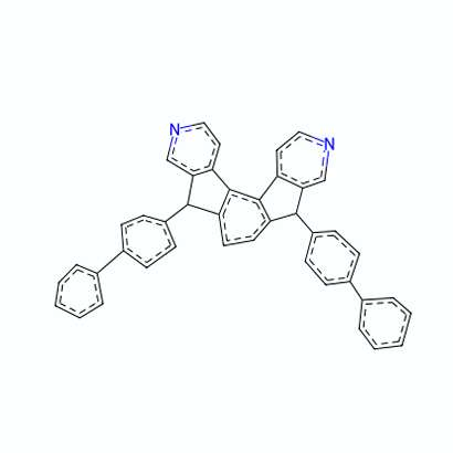 c1ccc(-c2ccc(C3c4cnccc4-c4c3ccc3c4-c4ccncc4C3c3ccc(-c4ccccc4)cc3)cc2)cc1